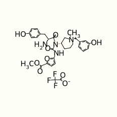 COC(=O)c1ccc(NC(=O)N(C(=O)[C@@H](N)Cc2ccc(O)cc2)[C@H]2CCC[N+](C)(Cc3cccc(O)c3)C2)o1.O=C([O-])C(F)(F)F